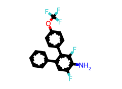 Nc1c(F)cc(-c2ccccc2)c(-c2ccc(OC(F)(F)F)cc2)c1F